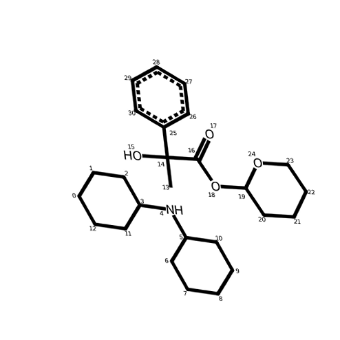 C1CCC(NC2CCCCC2)CC1.CC(O)(C(=O)OC1CCCCO1)c1ccccc1